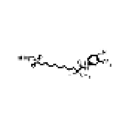 CCCCCCCS(=O)(=O)CCCCCCCC[C@](C)(O)C(=O)Nc1ccc(C#N)c(C(F)(F)F)c1